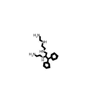 NCCNCCNCC(NCCN)C(c1ccccc1)c1ccccc1